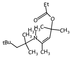 CCC(=O)OC(C)(C)C=C(C)N(C)C(C)(C)CC(C)(C)C